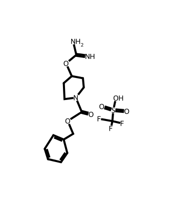 N=C(N)OC1CCN(C(=O)OCc2ccccc2)CC1.O=S(=O)(O)C(F)(F)F